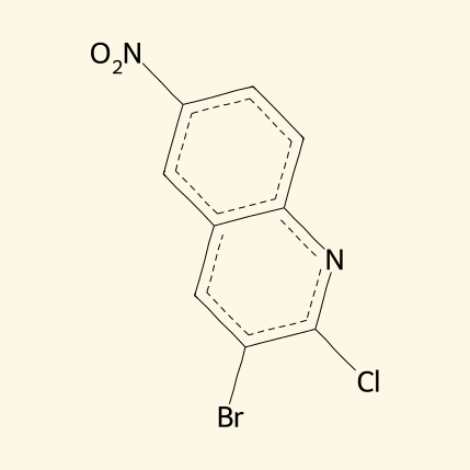 O=[N+]([O-])c1ccc2nc(Cl)c(Br)cc2c1